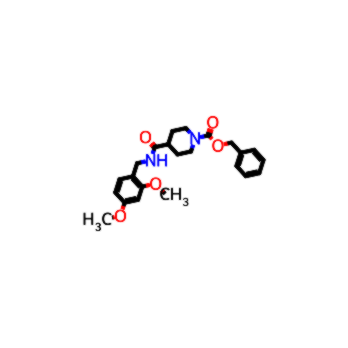 COc1ccc(CNC(=O)C2CCN(C(=O)OCc3ccccc3)CC2)c(OC)c1